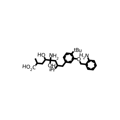 CC(CC(O)C(N)(O)CC(Cc1ccc(C(C)(C)C)c(OCc2ccccc2N)c1)C(C)C)C(=O)O